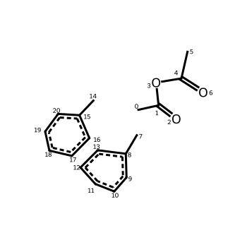 CC(=O)OC(C)=O.Cc1ccccc1.Cc1ccccc1